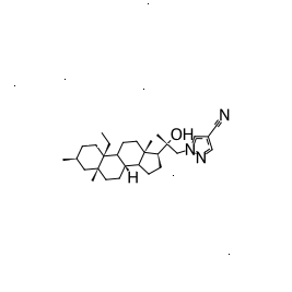 CC[C@]12CC[C@H](C)C[C@@]1(C)CC[C@@H]1C2CC[C@@]2(C)C1CC[C@@H]2[C@](C)(O)Cn1cc(C#N)cn1